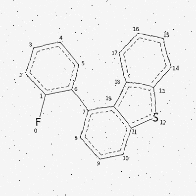 Fc1ccccc1-c1cccc2sc3ccccc3c12